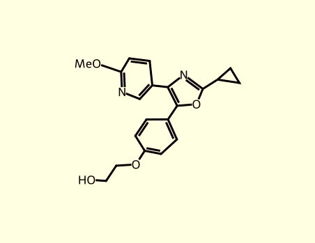 COc1ccc(-c2nc(C3CC3)oc2-c2ccc(OCCO)cc2)cn1